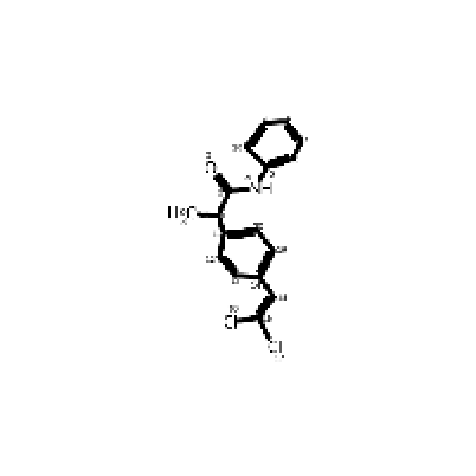 CC(C(=O)Nc1ccccc1)c1ccc(C=C(Cl)Cl)cc1